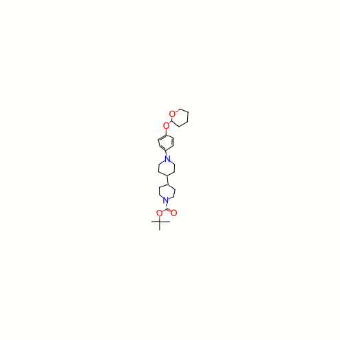 CC(C)(C)OC(=O)N1CCC(C2CCN(c3ccc(OC4CCCCO4)cc3)CC2)CC1